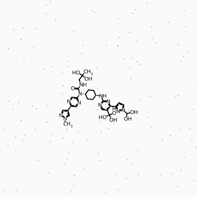 Cn1cc(-c2cnc(N(C(=O)NCC(C)(O)O)[C@H]3CC[C@H](Nc4ncc(C(O)(O)O)c(-c5ccn(C(O)O)n5)n4)CC3)cn2)cn1